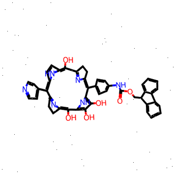 O=C(Nc1ccc(-c2c3nc(c(O)c4ccc([nH]4)c(-c4ccncc4)c4nc(c(O)c5[nH]c2c(O)c5O)CC4)CC3)cc1)OCC1c2ccccc2-c2ccccc21